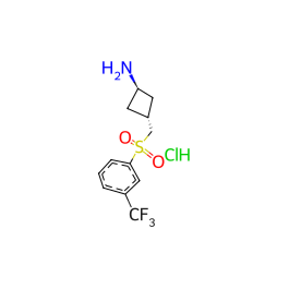 Cl.N[C@H]1C[C@H](CS(=O)(=O)c2cccc(C(F)(F)F)c2)C1